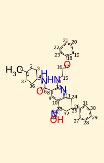 CC1CCC(NC(=O)c2cc3c(nc2NCCOc2ccccc2)CC(c2ccccc2)C/C3=N\O)CC1